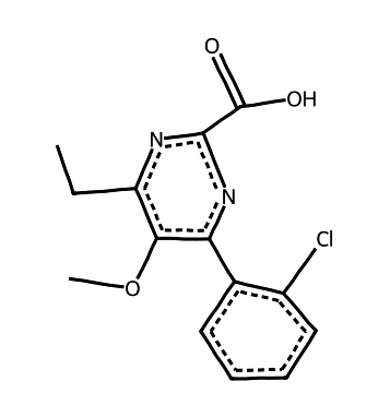 CCc1nc(C(=O)O)nc(-c2ccccc2Cl)c1OC